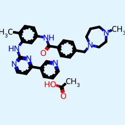 CC(=O)O.Cc1ccc(NC(=O)c2ccc(CN3CCCN(C)CC3)cc2)cc1Nc1nccc(-c2cccnc2)n1